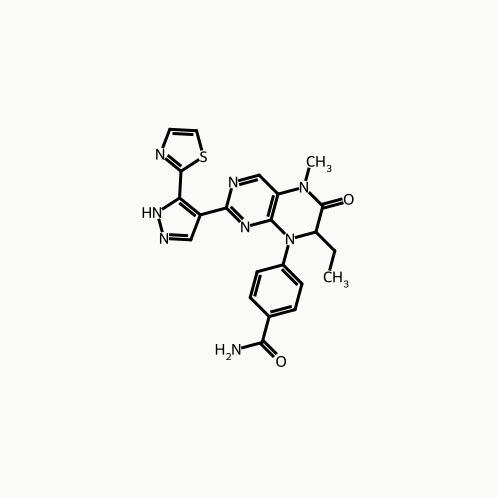 CCC1C(=O)N(C)c2cnc(-c3cn[nH]c3-c3nccs3)nc2N1c1ccc(C(N)=O)cc1